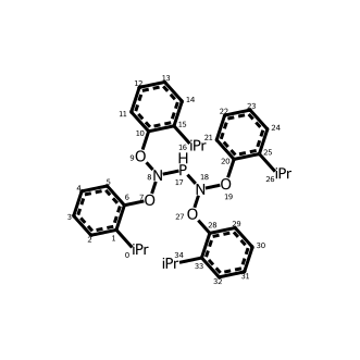 CC(C)c1ccccc1ON(Oc1ccccc1C(C)C)PN(Oc1ccccc1C(C)C)Oc1ccccc1C(C)C